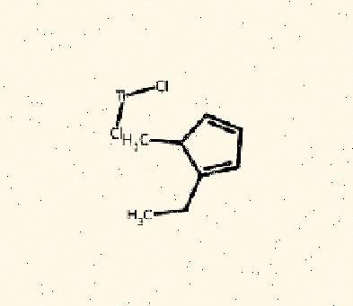 CCC1=CC=C[C]1C.[Cl][Ti][Cl]